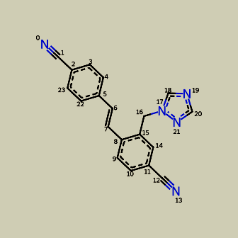 N#Cc1ccc(C=Cc2ccc(C#N)cc2Cn2cncn2)cc1